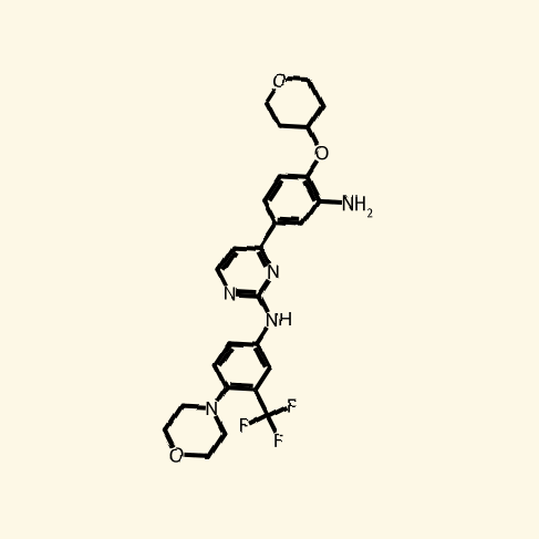 Nc1cc(-c2ccnc(Nc3ccc(N4CCOCC4)c(C(F)(F)F)c3)n2)ccc1OC1CCOCC1